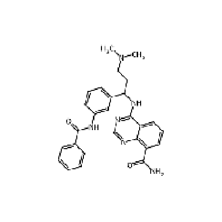 CN(C)CCC(Nc1ncnc2c(C(N)=O)cccc12)c1cccc(NC(=O)c2ccccc2)c1